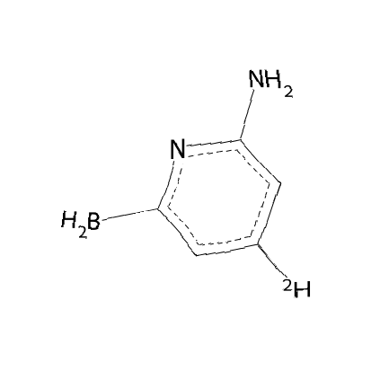 [2H]c1cc(B)nc(N)c1